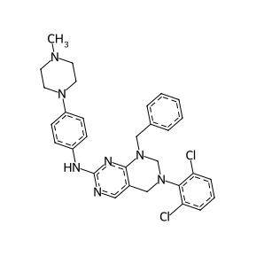 CN1CCN(c2ccc(Nc3ncc4c(n3)N(Cc3ccccc3)CN(c3c(Cl)cccc3Cl)C4)cc2)CC1